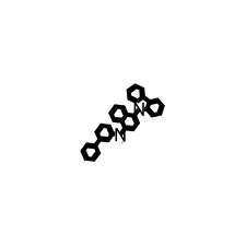 CN(c1cccc(-c2ccccc2)c1)c1ccc(-n2c3ccccc3c3ccccc32)c2ccccc12